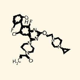 C=CC(=O)N1CCN(c2nc(OCCN3CCN(C4CC4)CC3)nc3c(F)c(-c4c(O)cccc4F)c(Cl)cc23)CC1